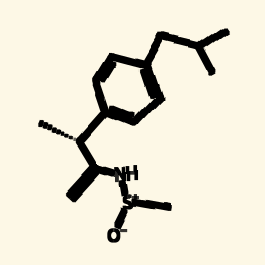 C=C(N[S+](C)[O-])[C@H](C)c1ccc(CC(C)C)cc1